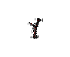 CC(C)(C)C(=O)CCCCCCCCCCC(=O)NC(COCCC(=O)NCCCNC(=O)CCCCO[C@H]1C[C@@H](O)[C@@H](O)[C@@H](CO)O1)COCCC(=O)NCCCNC(=O)CCCCO[C@H]1C[C@@H](O)[C@@H](O)[C@@H](CO)O1